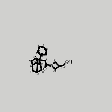 O=C(CC1(c2ccccc2)C2CC3CC(C2)CC1C3)N1CC(CO)C1